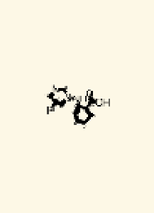 O=C(O)c1ccccc1NN1CN=CC(F)C1